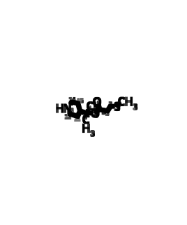 CSCCC(=O)OC(C)(C)C1CCNCC1